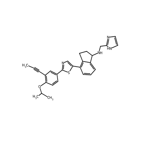 CC#Cc1cc(-c2ncc(-c3cccc4c3CCC4NCc3ncc[nH]3)s2)ccc1OC(C)C